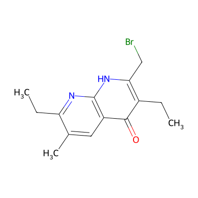 CCc1nc2[nH]c(CBr)c(CC)c(=O)c2cc1C